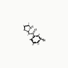 CCN(CC1CCCN1)c1cccc(Br)c1